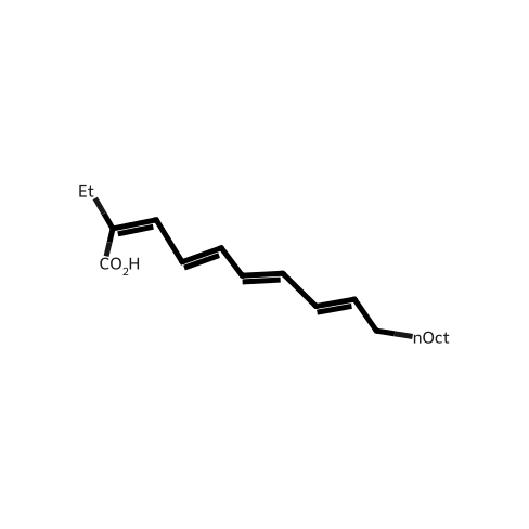 CCCCCCCCCC=CC=CC=CC=C(CC)C(=O)O